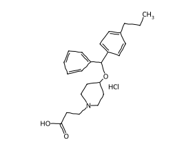 CCCc1ccc(C(OC2CCN(CCC(=O)O)CC2)c2ccccc2)cc1.Cl